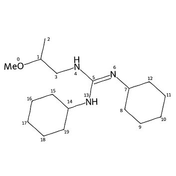 COC(C)CN/C(=N/C1CCCCC1)NC1CCCCC1